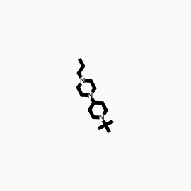 CCCN1CCN(C2CCN(C(C)(C)C)CC2)CC1